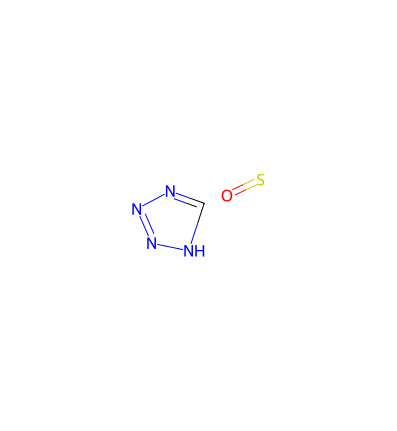 O=S.c1nnn[nH]1